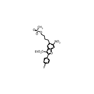 CCOC(=O)c1c(-c2ccc(F)cc2)oc2cc([N+](=O)[O-])c(CCCCOS(C)(=O)=O)cc12